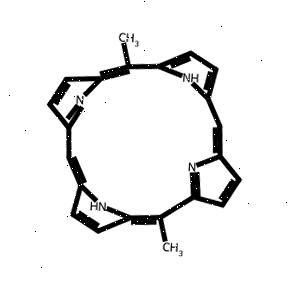 Cc1c2nc(cc3ccc([nH]3)c(C)c3nc(cc4ccc1[nH]4)C=C3)C=C2